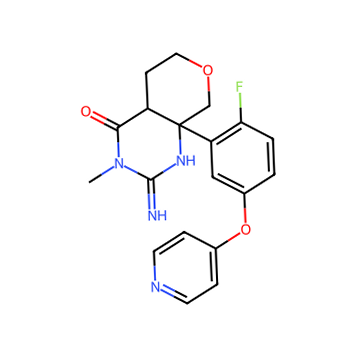 CN1C(=N)NC2(c3cc(Oc4ccncc4)ccc3F)COCCC2C1=O